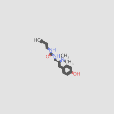 C#CCCNC(=O)NC[C@H](Cc1ccc(O)cc1)N(C)C